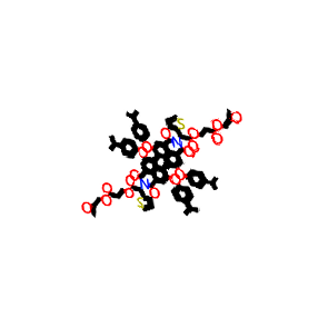 CC(C)c1ccc(Oc2cc3c4c(cc(Oc5ccc(C(C)C)cc5)c5c6c(Oc7ccc(C(C)C)cc7)cc7c8c(cc(Oc9ccc(C(C)C)cc9)c(c2c45)c86)C(=O)N(C(C(=O)OCCC(=O)OCC2CO2)c2cccs2)C7=O)C(=O)N(C(C(=O)OCCC(=O)OCC2CO2)c2cccs2)C3=O)cc1